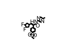 CCS(=O)(=O)c1ccc(/C(=C\C2CC(F)C(F)C2)C(=O)Nc2cnc(C)cn2)cc1